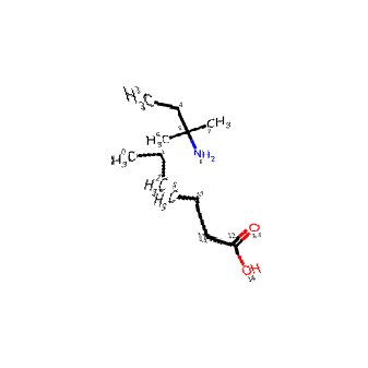 CCC.CCC(C)(C)N.CCCC(=O)O